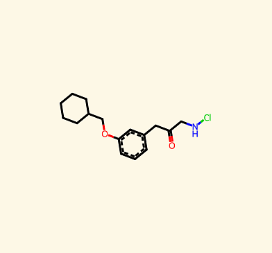 O=C(CNCl)Cc1cccc(OCC2CCCCC2)c1